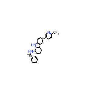 C[C@@H](NC1CCCc2c1[nH]c1ccc(-c3ccc(C(F)(F)F)nc3)cc21)c1ccccc1